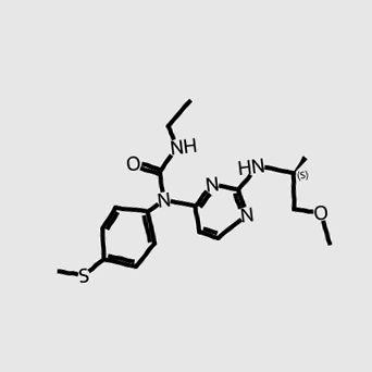 CCNC(=O)N(c1ccc(SC)cc1)c1ccnc(N[C@@H](C)COC)n1